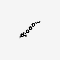 CCCCC[C@H]1CC[C@H](c2ccc([C@H]3CC[C@H](C(=O)Oc4ccc(F)cc4C#N)CC3)cc2)CC1